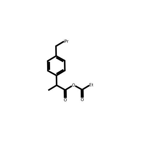 CCC(=O)OC(=O)C(C)c1ccc(CC(C)C)cc1